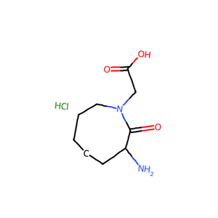 Cl.NC1CCCCCN(CC(=O)O)C1=O